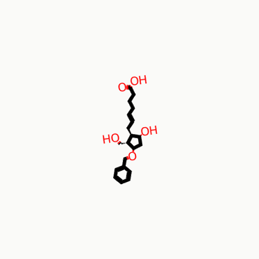 O=C(O)CCCC=CC[C@@H]1[C@@H](CO)[C@H](OCc2ccccc2)C[C@H]1O